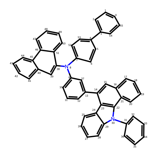 c1ccc(-c2ccc(N(c3cccc(-c4cc5ccccc5c5c4c4ccccc4n5-c4ccccc4)c3)c3cc4ccccc4c4ccccc34)cc2)cc1